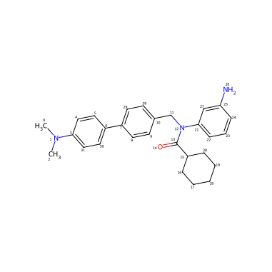 CN(C)c1ccc(-c2ccc(CN(C(=O)C3CCCCC3)c3cccc(N)c3)cc2)cc1